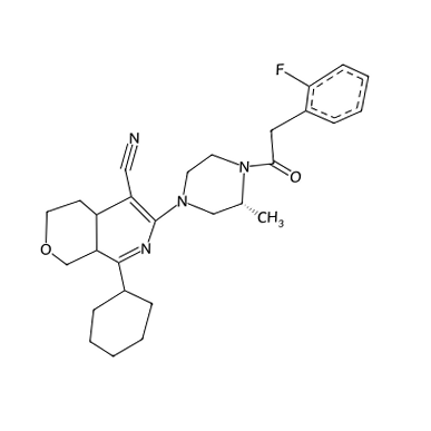 C[C@@H]1CN(C2=C(C#N)C3CCOCC3C(C3CCCCC3)=N2)CCN1C(=O)Cc1ccccc1F